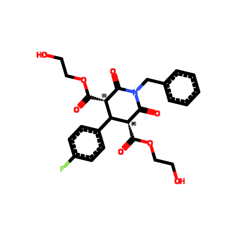 O=C(OCCO)[C@@H]1C(=O)N(Cc2ccccc2)C(=O)[C@H](C(=O)OCCO)C1c1ccc(F)cc1